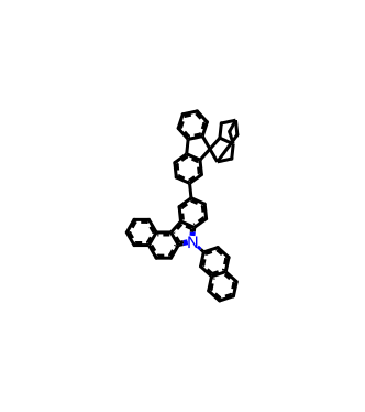 c1ccc2c(c1)-c1ccc(-c3ccc4c(c3)c3c5ccccc5ccc3n4-c3ccc4ccccc4c3)cc1C21C2CC3CC(C2)C1C3